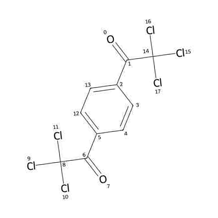 O=C(c1ccc(C(=O)C(Cl)(Cl)Cl)cc1)C(Cl)(Cl)Cl